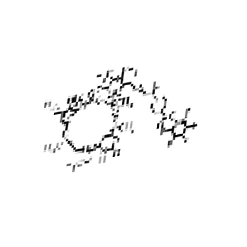 COc1cc2cc(c1Cl)N(C)C(=O)C[C@H](OC(=O)[C@@H](C)N(C)C(=O)CCSCC(=O)N1CCC(C(=O)Oc3c(F)c(F)c(F)c(F)c3F)CC1)C(C)(C)OC[C@H](C)[C@@H]1C[C@@](O)(NC(=O)O1)[C@H](OC)/C=C/C=C(\C)C2